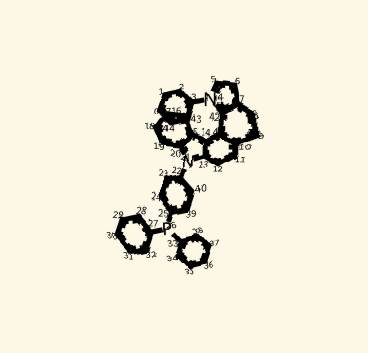 c1ccc(-n2ccc3ccc4ccc5c(c6ccccc6n5-c5ccc(P(c6ccccc6)c6ccccc6)cc5)c4c32)cc1